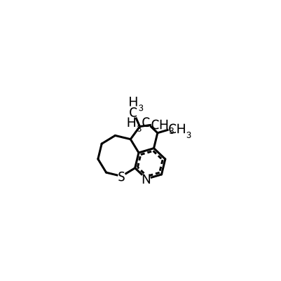 CC(C)c1ccnc2c1C(C(C)C)CCCCS2